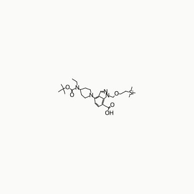 CCN(C(=O)OC(C)(C)C)C1CCN(c2ccc(C(=O)O)c3c2cnn3COCC[Si](C)(C)C)CC1